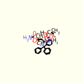 CC(C)(C)OC(=O)NC(CC(C)(C)OC(N)=O)=NC(c1ccccc1)(c1ccccc1)c1ccccc1